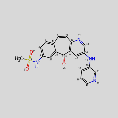 CS(=O)(=O)Nc1ccc2ccc3ncc(Nc4cccnc4)cc3c(=O)c2c1